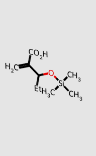 C=C(C(=O)O)C(CC)O[Si](C)(C)C